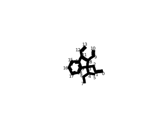 C=CCC1(C(C)CC)C(C=C)=C(C=C)c2ccccc21